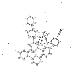 N#Cc1ccc2c(c1)C1(c3c(-c4nc(-c5ccc(-c6ccccc6)cc5)nc(-c5ccccc5-c5ccccc5)n4)cccc3-2)C2CC3CC(C2)CC1C3